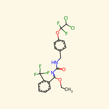 CCOC(=NC(=O)NCc1ccc(OC(F)(F)C(Cl)Cl)cc1)c1ccccc1C(F)(F)F